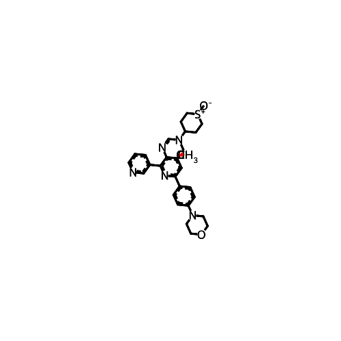 Cc1cc(-c2ccc(N3CCOCC3)cc2)nc(-c2cccnc2)c1/N=C\N(C=O)C1CC[S+]([O-])CC1